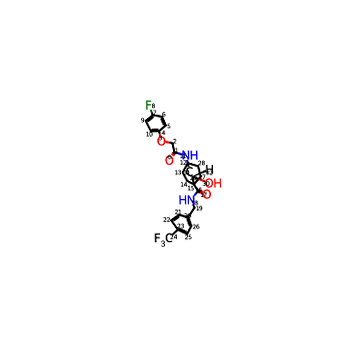 O=C(COc1ccc(F)cc1)NC12CCC(C(=O)NCc3ccc(C(F)(F)F)cc3)(CC1)[C@@H](O)C2